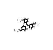 C=Cc1ccc(N(c2cccc(C)c2)c2cccc(C)c2)cc1